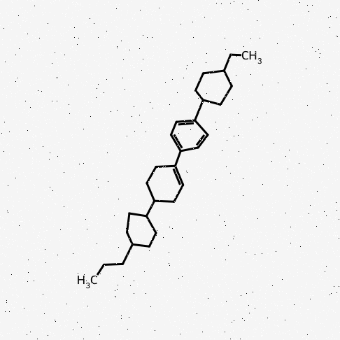 CCCC1CCC(C2CC=C(c3ccc(C4CCC(CC)CC4)cc3)CC2)CC1